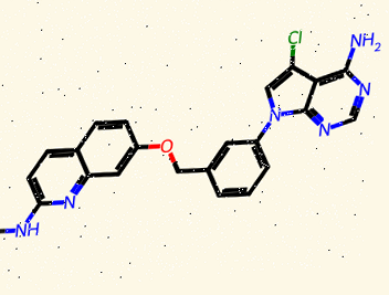 CCNc1ccc2ccc(OCc3cccc(-n4cc(Cl)c5c(N)ncnc54)c3)cc2n1